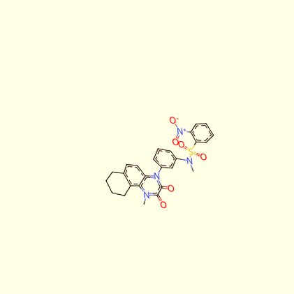 CN(c1cccc(-n2c(=O)c(=O)n(C)c3c4c(ccc32)CCCC4)c1)S(=O)(=O)c1ccccc1[N+](=O)[O-]